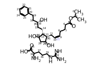 CC(C)OC(=O)CCC/C=C\C[C@@H]1[C@@H](CC[C@@H](O)CCc2ccccc2)[C@H](O)C[C@@H]1O.N=C(N)NCCCC(N)C(=O)O